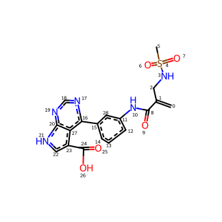 C=C(CNS(C)(=O)=O)C(=O)Nc1cccc(-c2ncnc3[nH]cc(C(=O)O)c23)c1